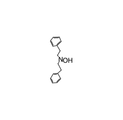 ON(CCc1ccccc1)CCc1ccccc1